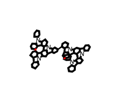 c1ccc(-n2c3ccccc3c3c4c5c6c7cccc8c9ccccc9n(c6cc6c9ccc(-c%10cccc%11c%10c%10cccc%12c%13c%14c%15c%16c(ccc%15n%15c%17ccccc%17c(cc%13n%11c%10%12)c%14%15)c%10ccccc%10n%16-c%10ccccc%10)cc9n(c4ccc32)c65)c87)cc1